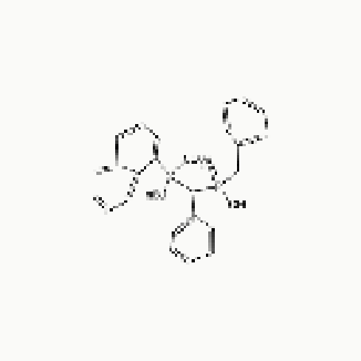 CCCCC(C(=O)O)(c1cccc2ccccc12)C(c1ccccc1)P(=O)(O)Cc1ccccc1